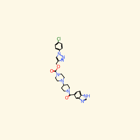 O=C(OCc1cn(-c2ccc(Cl)cc2)nn1)N1CCN(C2CCN(C(=O)c3ccc4[nH]cnc4c3)CC2)CC1